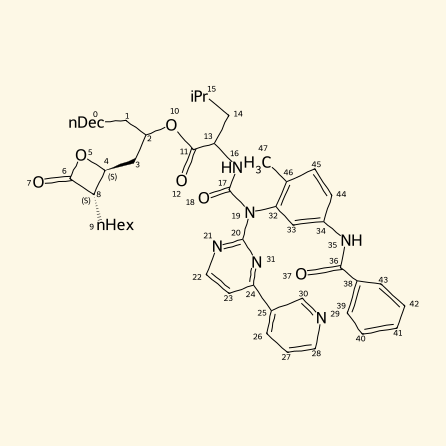 CCCCCCCCCCCC(C[C@@H]1OC(=O)[C@H]1CCCCCC)OC(=O)C(CC(C)C)NC(=O)N(c1nccc(-c2cccnc2)n1)c1cc(NC(=O)c2ccccc2)ccc1C